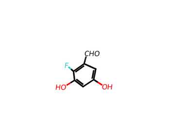 O=Cc1cc(O)cc(O)c1F